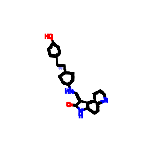 O=C1Nc2ccc3ncccc3c2C1=CNc1ccc(/C=C/c2ccc(O)cc2)cc1